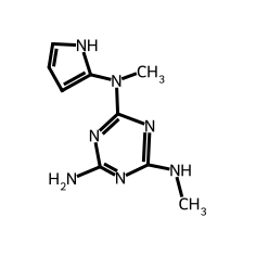 CNc1nc(N)nc(N(C)c2ccc[nH]2)n1